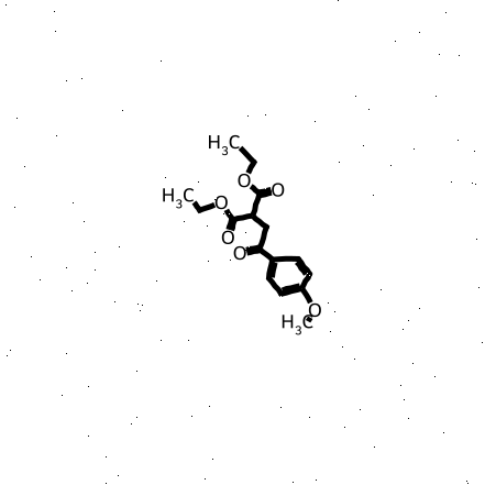 CCOC(=O)C(CC(=O)c1ccc(OC)cc1)C(=O)OCC